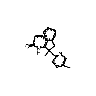 Cc1ccc(C(C)(Cc2ccccn2)c2cccc(=O)[nH]2)nc1